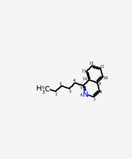 CCCCCc1nccc2ccccc12